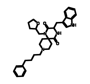 O=C1C(Cc2c[nH]c3ccccc23)NC(=O)C2(CCN(CCCCc3ccccc3)CC2)N1CC1CCCO1